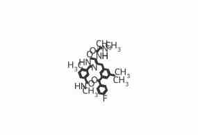 CNC(=O)c1ccc(C)c(-c2nc(Cc3cc(C(=O)c4ccc(F)cc4)cc(C(C)C)c3)c(NC(=O)[C@H](C)NC)c(=O)[nH]2)c1